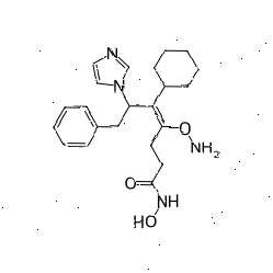 NOC(CCC(=O)NO)=C(C1CCCCC1)C(Cc1ccccc1)n1ccnc1